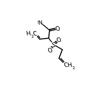 C=CCS(=O)(=O)C(C=C)C([N])=O